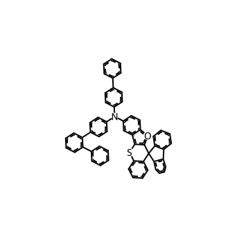 c1ccc(-c2ccc(N(c3ccc(-c4ccccc4-c4ccccc4)cc3)c3ccc4oc5c(c4c3)Sc3ccccc3C53c4ccccc4-c4ccccc43)cc2)cc1